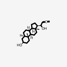 C=C=CC(O)[C@@H]1CC[C@@H]2[C@@H]3CC[C@@H]4C[C@H](O)CC[C@@]4(C)[C@@H]3CC[C@]21C